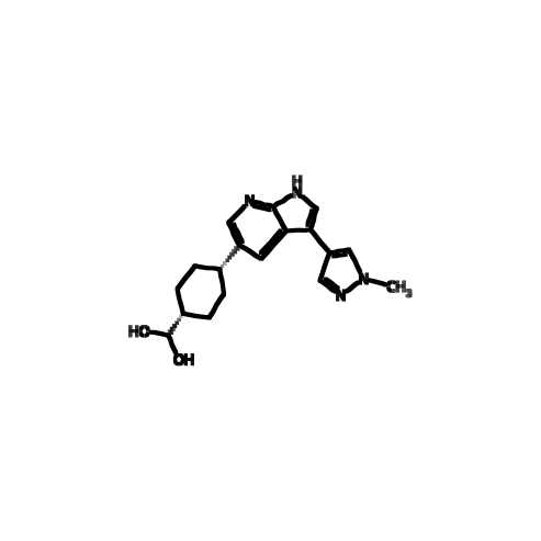 Cn1cc(-c2c[nH]c3ncc([C@H]4CC[C@@H](C(O)O)CC4)cc23)cn1